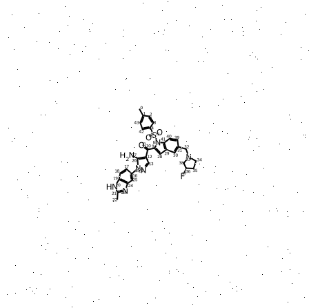 Cc1ccc(S(=O)(=O)n2c(C(=O)c3cnn(-c4ccc5[nH]c(C)nc5c4)c3N)cc3cc(CN4CC[C@@H](F)C4)ccc32)cc1